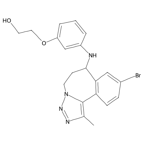 Cc1nnn2c1-c1ccc(Br)cc1C(Nc1cccc(OCCO)c1)CC2